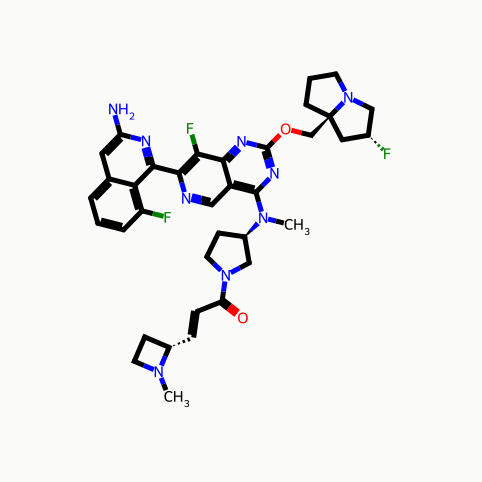 CN1CC[C@@H]1/C=C/C(=O)N1CC[C@@H](N(C)c2nc(OC[C@@]34CCCN3C[C@H](F)C4)nc3c(F)c(-c4nc(N)cc5cccc(F)c45)ncc23)C1